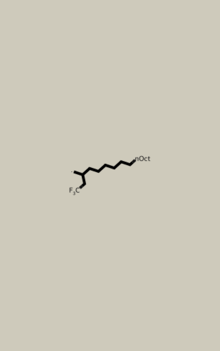 [CH2]C(CCCCCCCCCCCCCC)CC(F)(F)F